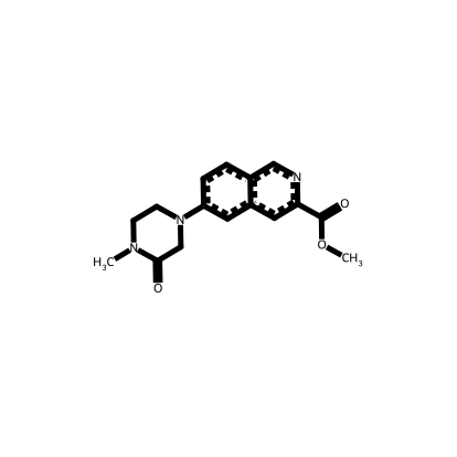 COC(=O)c1cc2cc(N3CCN(C)C(=O)C3)ccc2cn1